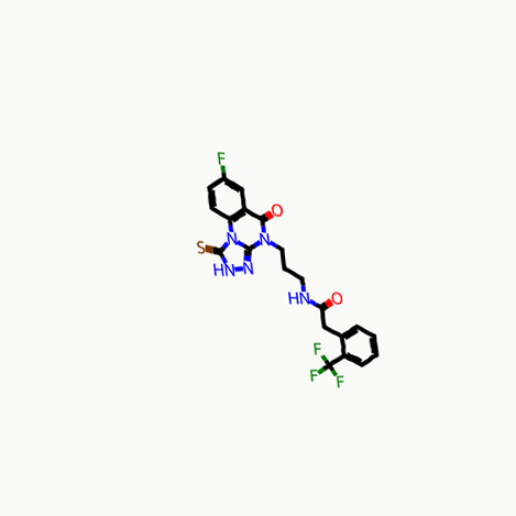 O=C(Cc1ccccc1C(F)(F)F)NCCCn1c(=O)c2cc(F)ccc2n2c(=S)[nH]nc12